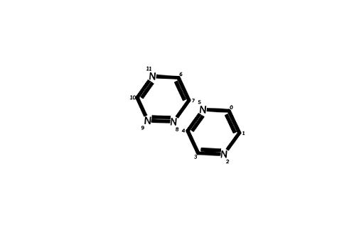 c1cnccn1.c1cnncn1